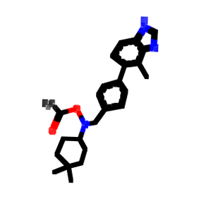 Cc1c(-c2ccc(CN(OC(=O)C(F)(F)F)C3CCC(C)(C)CC3)cc2)ccc2[nH]cnc12